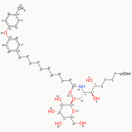 CCCCCCCCCCCCCC[C@@H](O)[C@@H](O)[C@H](CO[C@H]1OC(CO)[C@H](O)[C@H](O)C1O)NC(=O)CCCCCCCCCCc1ccc(Oc2ccc(C)cc2)cc1